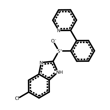 [O-][S+](c1nc2cc(Cl)ccc2[nH]1)c1ccccc1-c1ccccn1